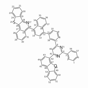 c1ccc(-c2nc(-c3cccc(-c4ccc(-c5nc6c7ccccc7sc6c6ccccc56)c5ccccc45)c3)cc(-c3cccc4c3oc3ccccc34)n2)cc1